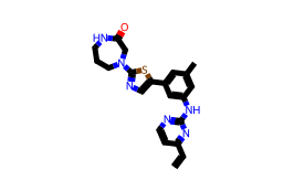 C=Cc1ccnc(Nc2cc(C)cc(-c3cnc(N4CCCNC(=O)C4)s3)c2)n1